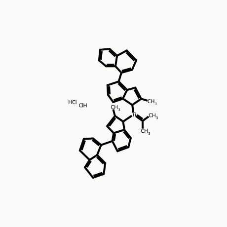 CC1=Cc2c(-c3cccc4ccccc34)cccc2[CH]1[Ti](=[C](C)C)[CH]1C(C)=Cc2c(-c3cccc4ccccc34)cccc21.Cl.Cl